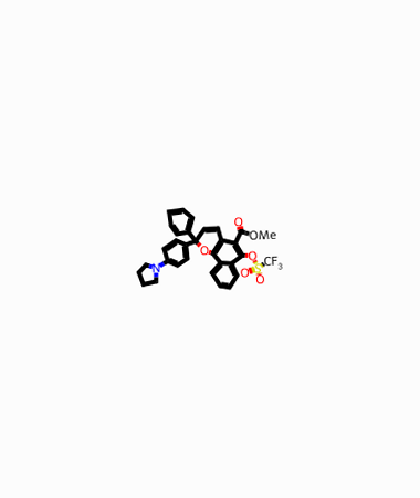 COC(=O)c1c2c(c3ccccc3c1OS(=O)(=O)C(F)(F)F)OC(c1ccccc1)(c1ccc(N3CCCC3)cc1)C=C2